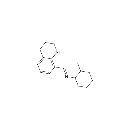 CC1CCCCC1N=Cc1cccc2c1NCCC2